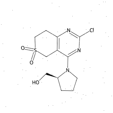 O=S1(=O)CCc2nc(Cl)nc(N3CCC[C@H]3CO)c2C1